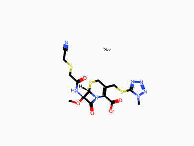 CO[C@@]1(NC(=O)CSCC#N)C(=O)N2C(C(=O)[O-])=C(CSc3nnnn3C)CS[C@H]21.[Na+]